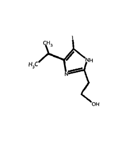 CC(C)c1nc(CCO)[nH]c1I